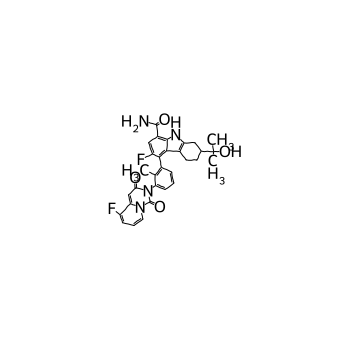 Cc1c(-c2c(F)cc(C(N)=O)c3[nH]c4c(c23)CCC(C(C)(C)O)C4)cccc1-n1c(=O)cc2c(F)cccn2c1=O